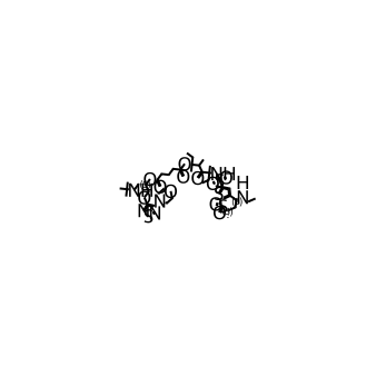 CCN[C@H]1C[C@H](C)S(=O)(=O)c2sc(S(=O)(=O)NC(C)(CC)C(=O)C(C)C(C)(CC)OC(=O)CCCC(=O)O[C@@H](CNC(C)(C)C)COc3nsnc3N3CCOCC3)cc21